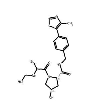 Cc1ncsc1-c1ccc(CNC(=O)[C@@H]2C[C@@H](O)CN2C(=O)C(NCO)C(C)(C)C)cc1